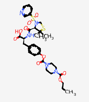 CCCOC(=O)N1CCN(C(=O)Oc2ccc(C[C@H](NC(=O)[C@H]3N(S(=O)(=O)c4cccnc4)CSC3(C)C)C(=O)O)cc2)CC1